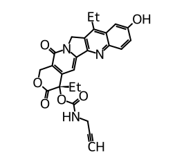 C#CCNC(=O)O[C@]1(CC)C(=O)OCc2c1cc1n(c2=O)Cc2c-1nc1ccc(O)cc1c2CC